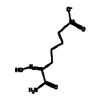 NC(=O)C(CCCC[N+](=O)[O-])=NO